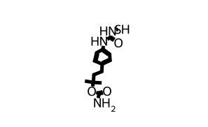 CC(C)(CCc1ccc(NC(=O)NS)cc1)OC(N)=O